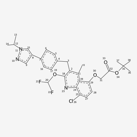 Cc1c(Cc2ccc(-c3cnn(C(C)C)c3)cc2)c(OC(F)F)nc2c(Cl)ccc(OCC(=O)OC(C)(C)C)c12